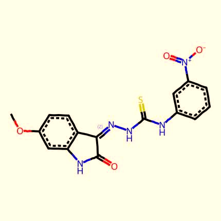 COc1ccc2c(c1)NC(=O)/C2=N\NC(=S)Nc1cccc([N+](=O)[O-])c1